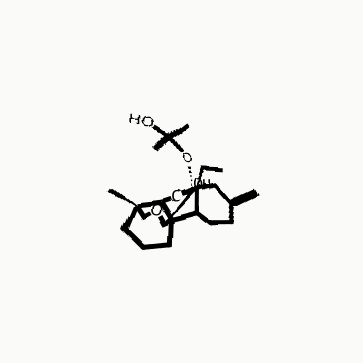 C=C1CCC2C34CCC[C@@](C)(CO[C@@H]3O)C4C[C@@H](OC(C)(C)O)[C@]2(CC)C1